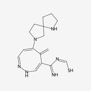 C=C1/C(C(=N)/N=C\S)=C\N/N=C\C=C/1N1CCC2(CCCN2)C1